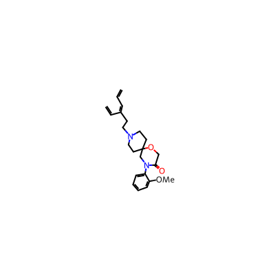 C=C/C=C(\C=C)CCN1CCC2(CC1)CN(c1ccccc1OC)C(=O)CO2